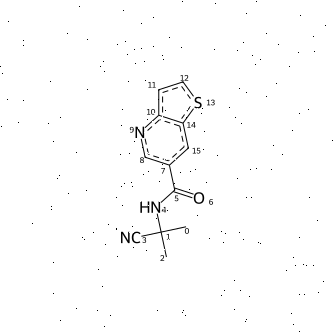 CC(C)(C#N)NC(=O)c1cnc2ccsc2c1